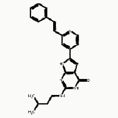 CC(C)CCNc1nc2[nH]c(-c3ccnc(/C=C/c4ccccc4)c3)cc2c(=O)[nH]1